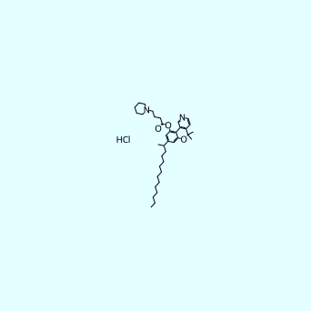 CCCCCCCCCCCCC(C)c1cc(OC(=O)CCCN2CCCCC2)c2c(c1)OC(C)(C)c1ccncc1-2.Cl